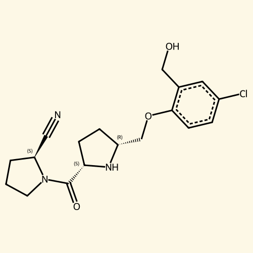 N#C[C@@H]1CCCN1C(=O)[C@@H]1CC[C@H](COc2ccc(Cl)cc2CO)N1